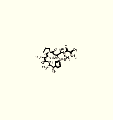 CC[C@H](C)C([C@H](CC(=O)N1CCC[C@H]1[C@H](OC)[C@H](C)C(=O)NC(C)[C@@H](O)c1ccccc1)OC)N(C)C(=O)C(N)C(C)C